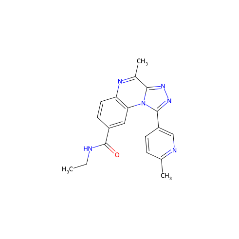 CCNC(=O)c1ccc2nc(C)c3nnc(-c4ccc(C)nc4)n3c2c1